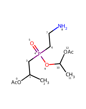 CC(=O)OC(C)CP(=O)(CCN)OC(C)OC(C)=O